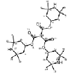 CC1(C)CC(OC(=O)N(C(=O)OC2CC(C)(C)NC(C)(C)C2)C(=O)OC2CC(C)(C)NC(C)(C)C2)CC(C)(C)N1